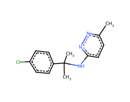 Cc1ccc(NC(C)(C)c2ccc(Cl)cc2)nn1